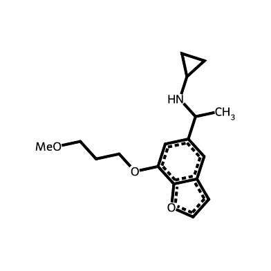 COCCCOc1cc(C(C)NC2CC2)cc2ccoc12